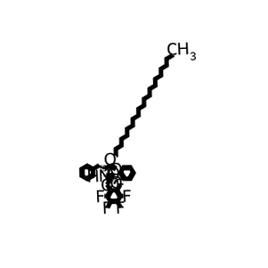 CCCCCCCCCCCCCCCCCCCCCCOC(=O)[C@H](Cc1ccccc1)N[P@](=O)(Oc1ccccc1)Oc1c(F)c(F)c(F)c(F)c1F